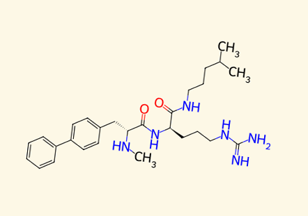 CN[C@H](Cc1ccc(-c2ccccc2)cc1)C(=O)N[C@H](CCCNC(=N)N)C(=O)NCCCC(C)C